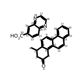 CC1CC(=O)Cc2c1ccc1c2ccc2ccccc21.O=C(O)c1ccc2nccnc2c1